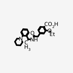 CCOc1cc(CC(=O)NC(C)c2ccccc2N2CCCCC2)ccc1C(=O)O